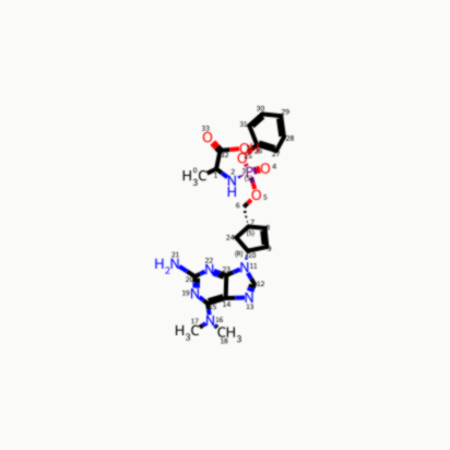 CC(N[P@](=O)(OC[C@@H]1C=C[C@H](n2cnc3c(N(C)C)nc(N)nc32)C1)Oc1ccccc1)C(=O)O